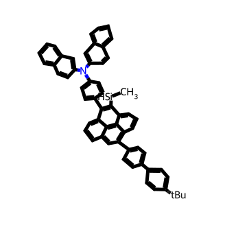 C[SiH]1c2cc(N(c3ccc4ccccc4c3)c3ccc4ccccc4c3)ccc2-c2c1c1cccc3c(-c4ccc(-c5ccc(C(C)(C)C)cc5)cc4)cc4cccc2c4c31